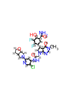 Cn1cnc2c(c(-c3cc(C(N)=O)c(O)c(F)c3F)cn2CC(=O)Nc2cc(N3CC4CCOC4C3)ncc2Cl)c1=O